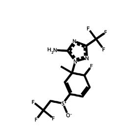 CC1(n2nc(C(F)(F)F)nc2N)C=C([S+]([O-])CC(F)(F)F)C=CC1F